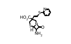 NC1C(=O)N2CC(C=CSc3ccccn3)(C(=O)O)CS[C@H]12